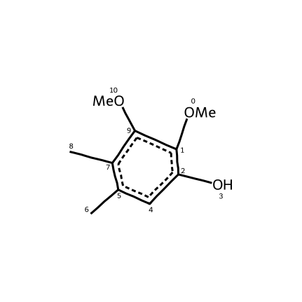 COc1c(O)cc(C)c(C)c1OC